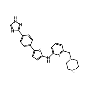 c1cc(CN2CCOCC2)nc(Nc2ccc(-c3ccc(-c4nc[nH]n4)cc3)s2)c1